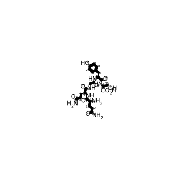 NC(=O)CC[C@H](NC(=O)[C@@H](N)CCC(N)=O)C(=O)NCC(=O)N[C@@H](Cc1ccc(O)cc1)C(=O)N[C@@H](CO)C(=O)O